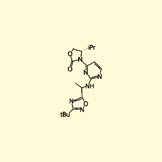 CC(Nc1nccc(N2C(=O)OC[C@@H]2C(C)C)n1)c1nc(C(C)(C)C)no1